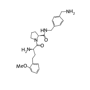 COc1ccccc1CC[C@@H](N)C(=O)N1CCC[C@H]1C(=O)NCc1ccc(CN)cc1